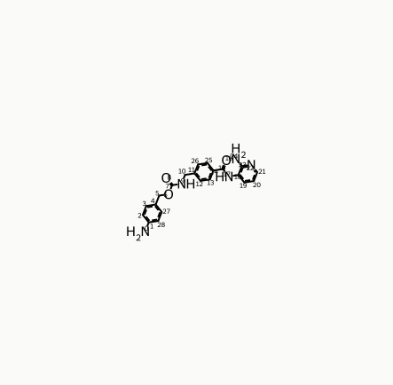 Nc1ccc(COC(=O)NCc2ccc(C(=O)Nc3cccnc3N)cc2)cc1